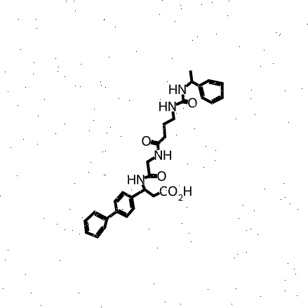 CC(NC(=O)NCCCC(=O)NCC(=O)NC(CC(=O)O)c1ccc(-c2ccccc2)cc1)c1ccccc1